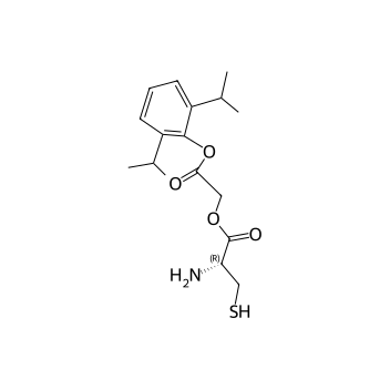 CC(C)c1cccc(C(C)C)c1OC(=O)COC(=O)[C@@H](N)CS